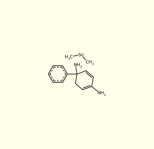 NC1=CCC(N)(c2ccccc2)C=C1.[CH3][Sn][CH3]